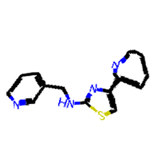 c1ccc(-c2csc(NCc3cccnc3)n2)nc1